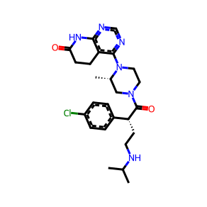 CC(C)NCC[C@@H](C(=O)N1CCN(c2ncnc3c2CCC(=O)N3)[C@@H](C)C1)c1ccc(Cl)cc1